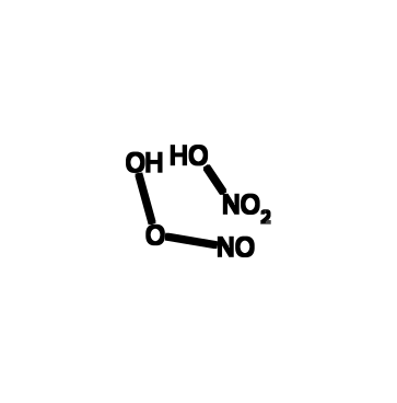 O=NOO.O=[N+]([O-])O